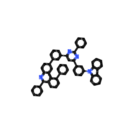 c1ccc(-c2nc(-c3cccc(-c4ccc5nc(-c6ccccc6)c6cccc(-c7ccccc7)c6c5c4)c3)cc(-c3cccc(-n4c5ccccc5c5ccccc54)c3)n2)cc1